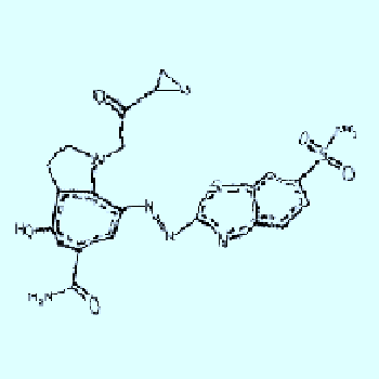 NC(=O)c1cc(/N=N/c2nc3ccc(S(N)(=O)=O)cc3s2)c2c(c1O)CCN2CC(=O)C1CO1